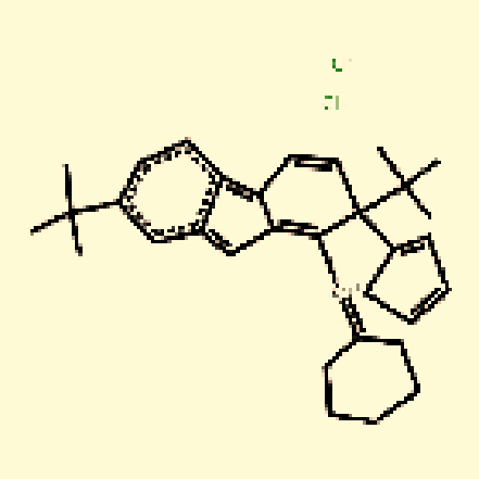 CC(C)(C)c1ccc2c(c1)=CC1=[C]([Zr+2]=[C]3CCCCC3)C(C3=CC=CC3)(C(C)(C)C)C=CC=21.[Cl-].[Cl-]